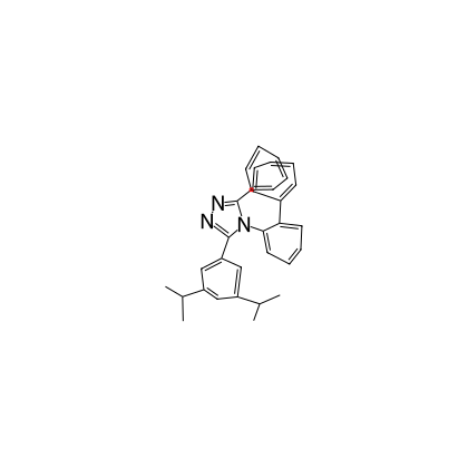 CC(C)c1cc(-c2nnc(-c3ccccc3)n2-c2ccccc2-c2ccccc2)cc(C(C)C)c1